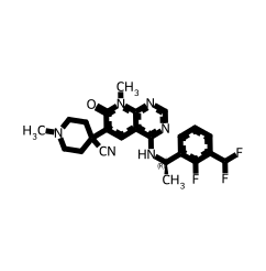 C[C@@H](Nc1ncnc2c1cc(C1(C#N)CCN(C)CC1)c(=O)n2C)c1cccc(C(F)F)c1F